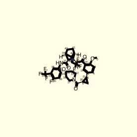 COc1ccc([C@H]2C[C@H]2C(=O)N2CCC(O)CC2)cc1C(=O)N[C@H]1[C@@H](C(=O)Nc2ccc(F)c(C(F)(F)F)c2)[C@H]2CC[C@@H]1/C2=C\C(F)(F)F